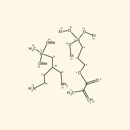 C=C(C)C(=O)OCCC[Si](OCC)(OCC)OCC.CO[Si](C)(CC(CN)CCN)OC